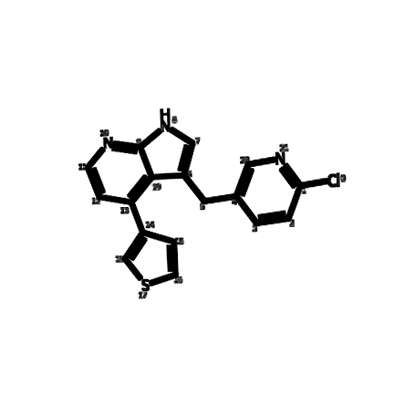 Clc1ccc(Cc2c[nH]c3nccc(-c4ccsc4)c23)cn1